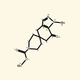 CC(C)(C)OC(=O)N1CCC2(CC1)CC(=O)c1c(cnn1C(C)(C)C)C2